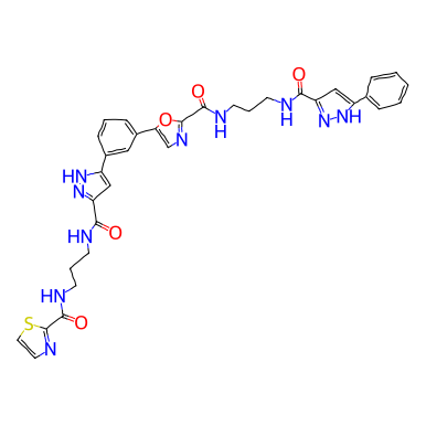 O=C(NCCCNC(=O)c1ncc(-c2cccc(-c3cc(C(=O)NCCCNC(=O)c4nccs4)n[nH]3)c2)o1)c1cc(-c2ccccc2)[nH]n1